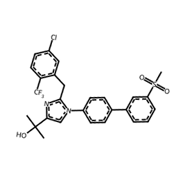 CC(C)(O)c1cn(-c2ccc(-c3cccc(S(C)(=O)=O)c3)cc2)c(Cc2cc(Cl)ccc2C(F)(F)F)n1